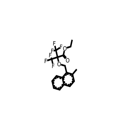 CCOC(=O)C(OCc1c(C)ccc2ccccc12)(C(F)(F)F)C(F)(F)F